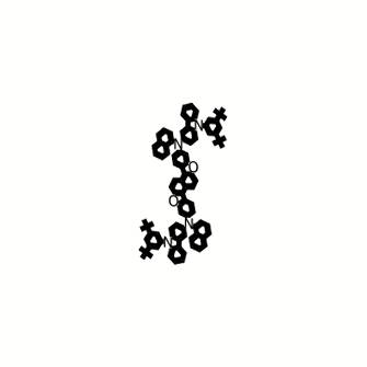 CC(C)(C)c1cc(-n2c3ccccc3c3cc(N(c4ccc5c(c4)oc4ccc6c(ccc7oc8cc(N(c9ccc%10c(c9)c9ccccc9n%10-c9cc(C(C)(C)C)cc(C(C)(C)C)c9)c9cccc%10ccccc9%10)ccc8c76)c45)c4cccc5ccccc45)ccc32)cc(C(C)(C)C)c1